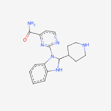 NC(=O)c1ccnc(N2c3ccccc3NC2C2CCNCC2)n1